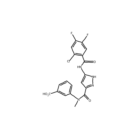 CN(C(=O)c1cc(NC(=O)c2cc(F)c(F)cc2Cl)[nH]n1)c1cccc(C(=O)O)c1